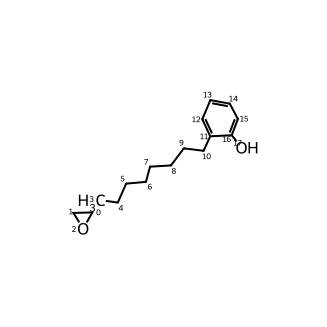 C1CO1.CCCCCCCCc1ccccc1O